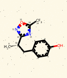 C[C@@H](Cc1ccc(O)cc1)c1noc(C(F)(F)F)n1